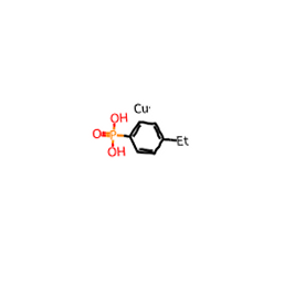 CCc1ccc(P(=O)(O)O)cc1.[Cu]